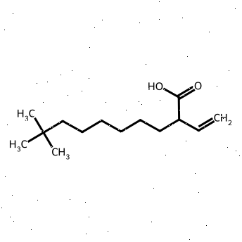 C=CC(CCCCCCC(C)(C)C)C(=O)O